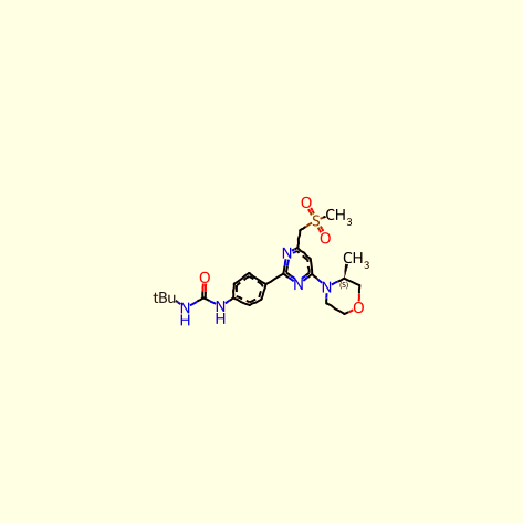 C[C@H]1COCCN1c1cc(CS(C)(=O)=O)nc(-c2ccc(NC(=O)NC(C)(C)C)cc2)n1